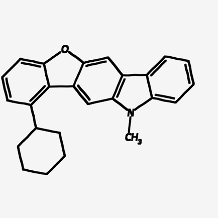 Cn1c2ccccc2c2cc3oc4cccc(C5CCCCC5)c4c3cc21